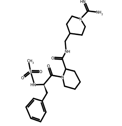 CS(=O)(=O)N[C@H](Cc1ccccc1)C(=O)N1CCCCC1C(=O)NCC1CCN(C(=N)N)CC1